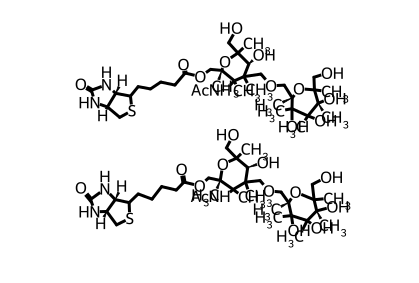 CC(=O)NC1(C)C(C)(COC[C@]2(C)OC(C)(CO)[C@](C)(O)C(C)(O)C2(C)O)[C@H](O)C(C)(CO)O[C@@]1(C)COC(=O)CCCCC1SC[C@@H]2NC(=O)N[C@H]12.CC(=O)NC1(C)C(C)(COC[C@]2(C)OC(C)(CO)[C@](C)(O)C(C)(O)C2(C)O)[C@H](O)C(C)(CO)O[C@@]1(C)COC(=O)CCCCC1SC[C@@H]2NC(=O)N[C@H]12